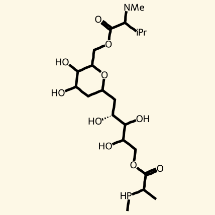 CNC(C(=O)OCC1OC(C[C@@H](O)C(O)C(O)COC(=O)C(C)PC)CC(O)C1O)C(C)C